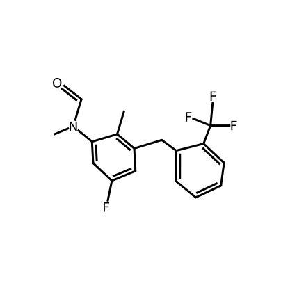 Cc1c(Cc2ccccc2C(F)(F)F)cc(F)cc1N(C)C=O